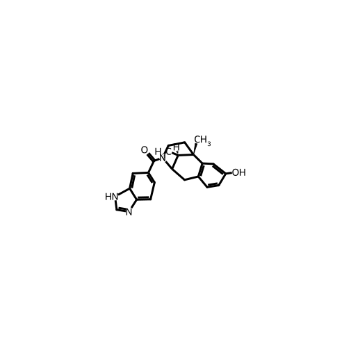 C[C@@H]1C2Cc3ccc(O)cc3[C@@]1(C)CCN2C(=O)c1ccc2nc[nH]c2c1